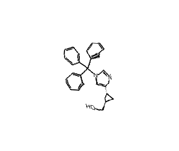 OC[C@@H]1C[C@H]1c1cn(C(c2ccccc2)(c2ccccc2)c2ccccc2)cn1